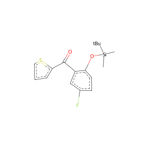 CC(C)(C)[Si](C)(C)Oc1ccc(F)cc1C(=O)c1cccs1